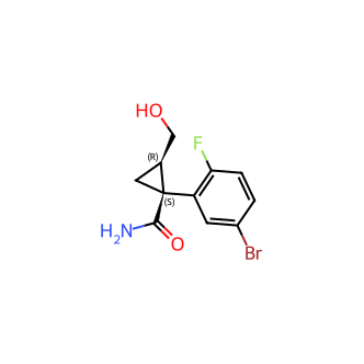 NC(=O)[C@@]1(c2cc(Br)ccc2F)C[C@H]1CO